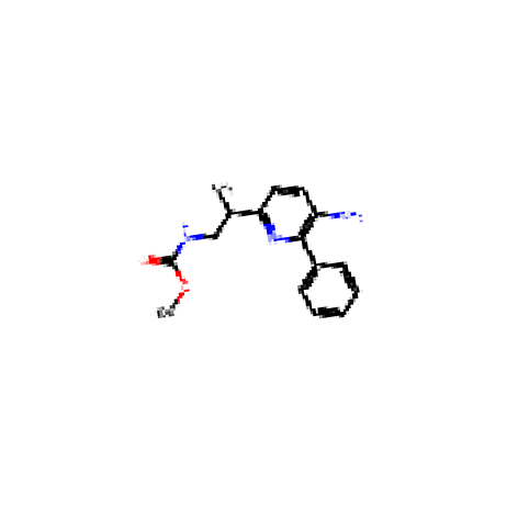 CC(CNC(=O)OC(C)(C)C)c1ccc(N)c(-c2ccccc2)n1